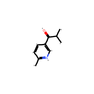 Cc1ccc(C(=O)C(C)C)cn1